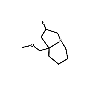 COCC12CCCCN1CC(F)C2